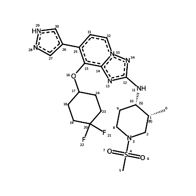 C[C@@H]1CN(S(C)(=O)=O)CC[C@@H]1Nc1nc2c(OC3CCC(F)(F)CC3)c(-c3cn[nH]c3)ccn2n1